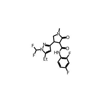 CCc1cc(C2CN(C)C(=O)C2C(=O)Nc2ccc(F)cc2F)nn1C(F)F